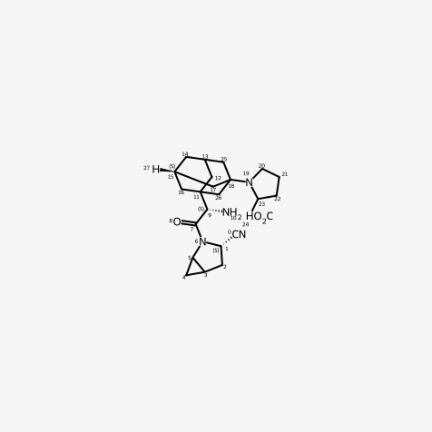 N#C[C@@H]1CC2CC2N1C(=O)[C@@H](N)C12CC3C[C@@H](C1)CC(N1CCCC1C(=O)O)(C3)C2